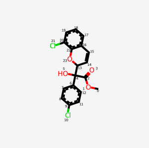 COC(=O)C(O)(c1ccc(Cl)cc1)C1C=Cc2cccc(Cl)c2O1